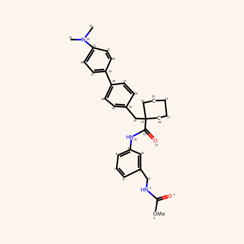 COC(=O)NCc1cccc(NC(=O)C2(Cc3ccc(-c4ccc(N(C)C)cc4)cc3)CCCCC2)c1